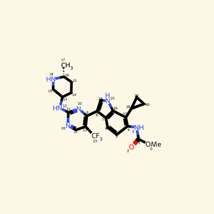 COC(=O)Nc1ccc2c(-c3nc(NC4CC[C@@H](C)NC4)ncc3C(F)(F)F)c[nH]c2c1C1CC1